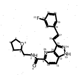 O=C(NCC1CCCO1)c1ccc2[nH]nc(/C=C/c3cccc(F)c3)c2n1